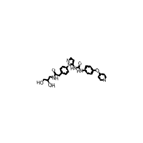 O=C(Cc1ccc(-n2nccc2NC(=O)Nc2ccc(Oc3ccncc3)cc2)cc1)NCC(O)CO